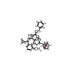 Cc1cccc2c1N(CC(=O)N1CC3CCC(CC3)C1)C(=O)C(NC(=O)OCc1ccccc1)N=C2C1CC1